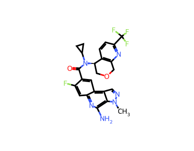 Cn1ncc2c3cc(C(=O)N(C4CC4)[C@@H]4COCc5nc(C(F)(F)F)ccc54)c(F)cc3nc(N)c21